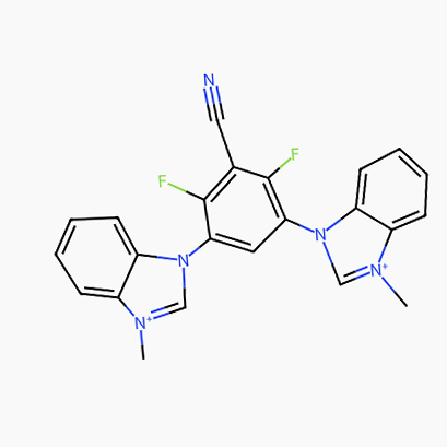 C[n+]1cn(-c2cc(-n3c[n+](C)c4ccccc43)c(F)c(C#N)c2F)c2ccccc21